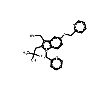 CC(C)(C)Cc1c(CC(C)(C)O)n(Cc2ccccn2)c2ccc(SCc3ccccn3)cc12